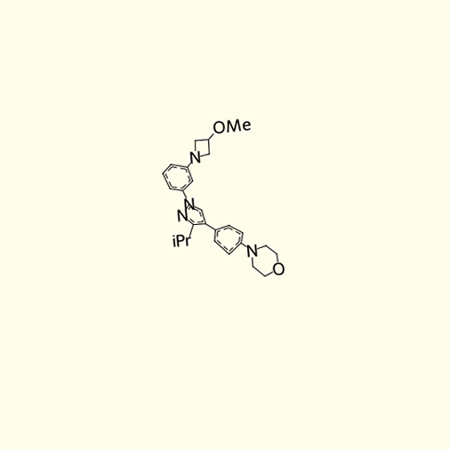 COC1CN(c2cccc(-n3cc(-c4ccc(N5CCOCC5)cc4)c(C(C)C)n3)c2)C1